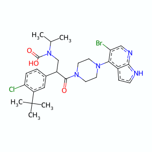 CC(C)N(CC(C(=O)N1CCN(c2c(Br)cnc3[nH]ccc23)CC1)c1ccc(Cl)c(C(C)(C)C)c1)C(=O)O